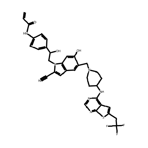 C=CC(=O)Nc1ccc(C(O)Cn2c(C#N)cc3cc(CN4CCC(Nc5ncnc6sc(CC(F)(F)F)cc56)CC4)c(O)cc32)cc1